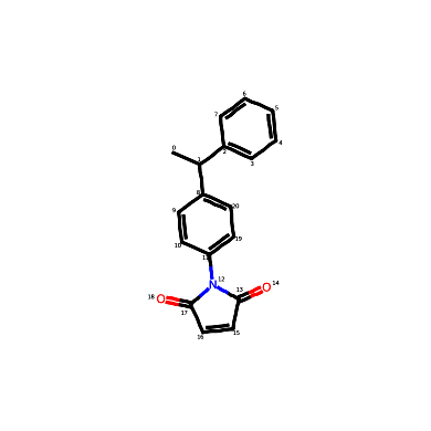 CC(c1ccccc1)c1ccc(N2C(=O)C=CC2=O)cc1